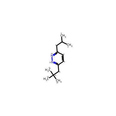 CC(C)Cc1ccc(CC(C)(C)C)nn1